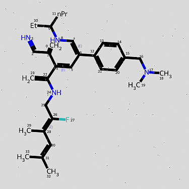 C=C(C=N)/C(=C\C(=C/NC(CC)CCC)c1ccc(CN(C)C)cc1)C(=C)NC/C(F)=C(\C)C=C(C)C